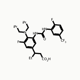 CCC(CC(=O)O)c1cc(F)c(N(CC(C)C)CC(C)C)c(NC(=O)Nc2cc(C(F)(F)F)ccc2F)c1